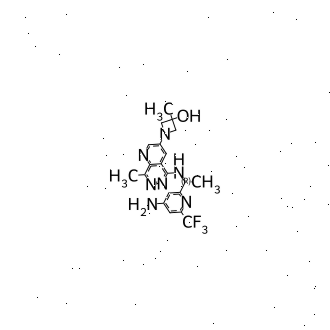 Cc1nnc(N[C@H](C)c2cc(N)cc(C(F)(F)F)n2)c2cc(N3CC(C)(O)C3)cnc12